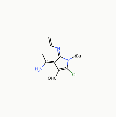 C=C/N=C1\C(=C(/C)N)C(C=O)=C(Cl)N1C(C)(C)C